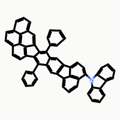 c1ccc(-c2c3cc4c(cc3c(-c3ccccc3)c3c5cc6cccc7ccc8ccc(c23)c5c8c76)c2ccc(-n3c5ccccc5c5ccccc53)c3cccc4c32)cc1